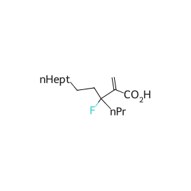 C=C(C(=O)O)C(F)(CCC)CCCCCCCCC